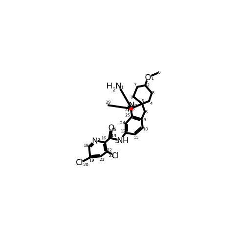 COC1CCC2(CC1)Cc1ccc(NC(=O)c3ncc(Cl)cc3Cl)cc1C21N=C(C)C(N)=N1